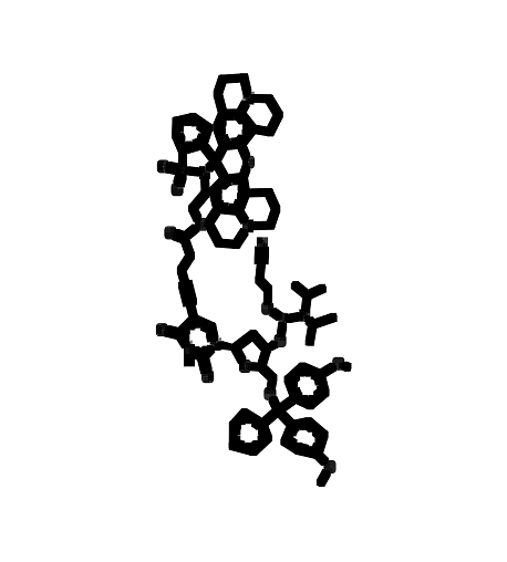 COc1ccc(C(OCC2O[C@@H](n3cc(C#CCCC(=O)NCCN4C5(c6ccccc6S4(=O)=O)c4cc6c7c(c4Oc4c5cc5c8c4CCCN8CCC5)CCCN7CCC6)c(=O)[nH]c3=O)C[C@H]2OP(OCCC#N)N(C(C)C)C(C)C)(c2ccccc2)c2ccc(OC)cc2)cc1